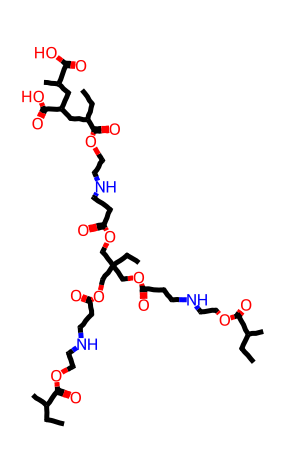 CCC(C)C(=O)OCCNCCC(=O)OCC(CC)(COC(=O)CCNCCOC(=O)C(C)CC)COC(=O)CCNCCOC(=O)C(CC)CC(CC(C)C(=O)O)C(=O)O